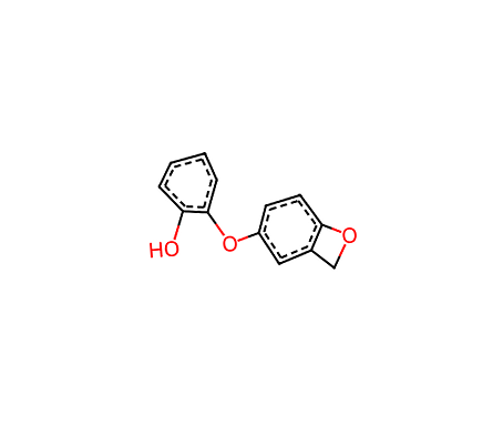 Oc1ccccc1Oc1ccc2c(c1)CO2